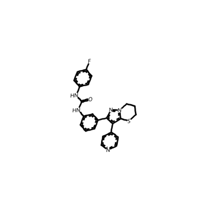 O=C(Nc1ccc(F)cc1)Nc1cccc(-c2nn3c(c2-c2ccncc2)SCCC3)c1